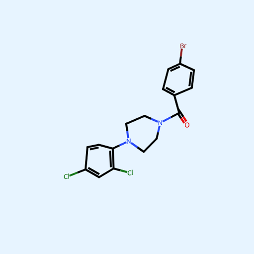 O=C(c1ccc(Br)cc1)N1CCN(c2ccc(Cl)cc2Cl)CC1